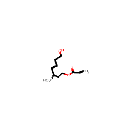 C=CC(=O)OCCC(CCCCO)C(=O)O